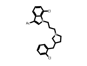 CC(=O)c1cn(CCCN2CCC(Cc3ccccc3Cl)C2)c2c(Cl)cccc12